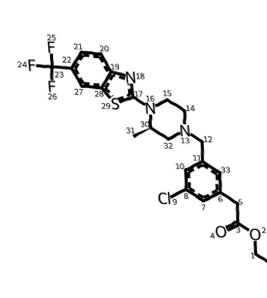 CCOC(=O)Cc1cc(Cl)cc(CN2CCN(c3nc4ccc(C(F)(F)F)cc4s3)[C@H](C)C2)c1